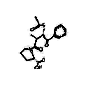 CC(=O)S[C@H](C(=O)c1ccccc1)[C@H](C)C(=O)N1CCC[C@H]1C(=O)O